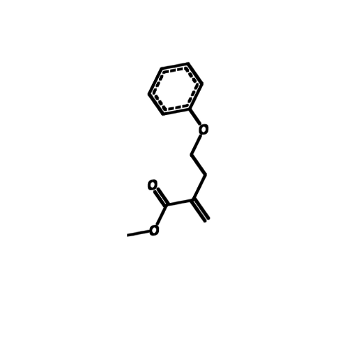 C=C(CCOc1ccccc1)C(=O)OC